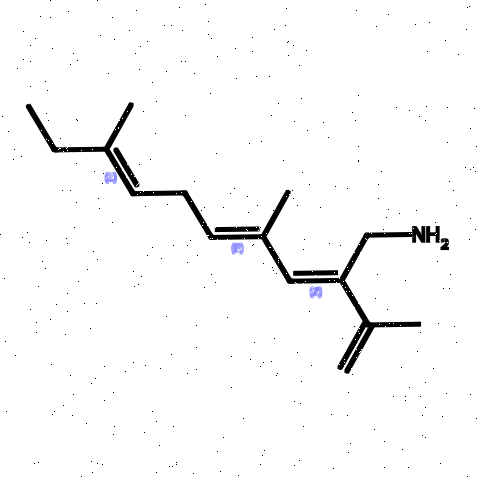 C=C(C)/C(=C/C(C)=C/C/C=C(\C)CC)CN